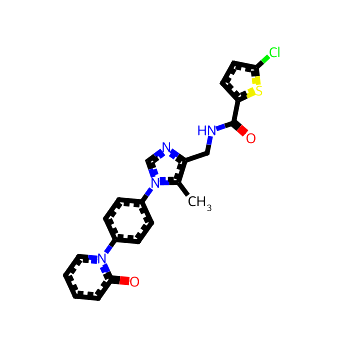 Cc1c(CNC(=O)c2ccc(Cl)s2)ncn1-c1ccc(-n2ccccc2=O)cc1